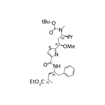 CCOC(=O)[C@@H](C)C[C@H](Cc1ccccc1)NC(=O)c1csc([C@@H](C[C@H](C(C)C)N(C)C(=O)OC(C)(C)C)OC)n1